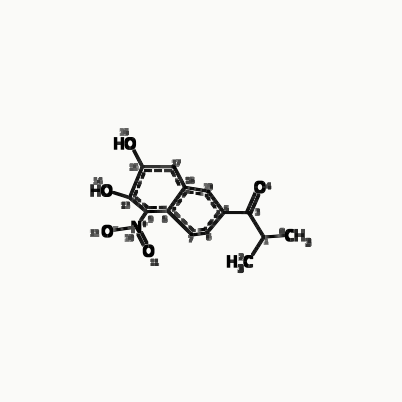 CC(C)C(=O)c1ccc2c([N+](=O)[O-])c(O)c(O)cc2c1